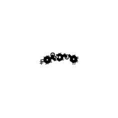 O=C(CN1CCC(COCc2ccccc2)CC1)c1ccc(F)cc1